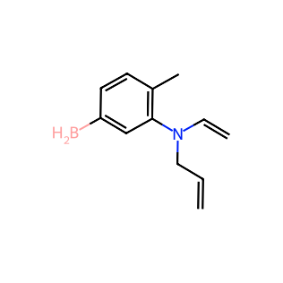 Bc1ccc(C)c(N(C=C)CC=C)c1